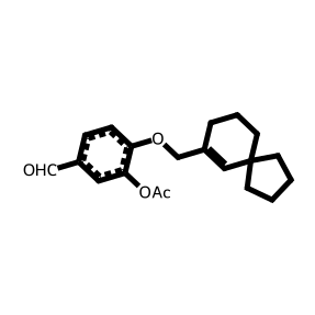 CC(=O)Oc1cc(C=O)ccc1OCC1=CC2(CCCC2)CCC1